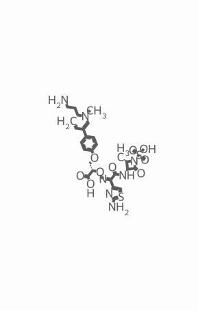 C=C/C(=C\N(C)CCCN)c1ccc(OC[C@H](O/N=C(\C(=O)N[C@@H]2C(=O)N(S(=O)(=O)O)[C@H]2C)c2csc(N)n2)C(=O)O)cc1